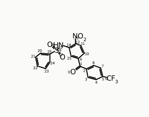 O=C(c1ccc(C(F)(F)F)cc1)c1ccc([N+](=O)[O-])c(NS(=O)(=O)c2ccccc2)c1